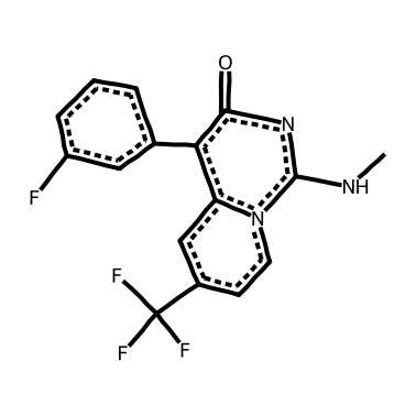 CNc1nc(=O)c(-c2cccc(F)c2)c2cc(C(F)(F)F)ccn12